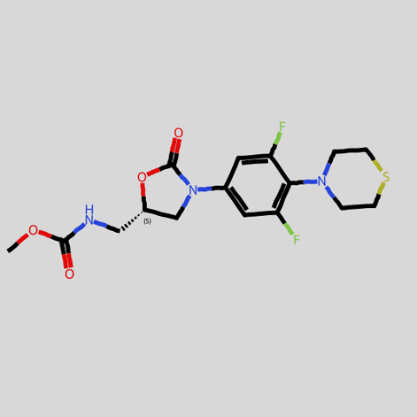 COC(=O)NC[C@H]1CN(c2cc(F)c(N3CCSCC3)c(F)c2)C(=O)O1